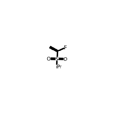 C=C(F)S(=O)(=O)C(C)C